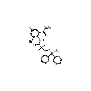 CNC(=O)c1cc(C)cc(Br)c1NC(=O)C(C)(C)CO[Si](c1ccccc1)(c1ccccc1)C(C)(C)C